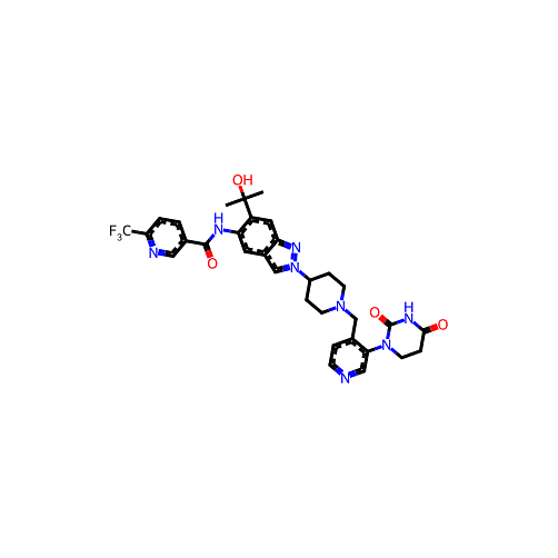 CC(C)(O)c1cc2nn(C3CCN(Cc4ccncc4N4CCC(=O)NC4=O)CC3)cc2cc1NC(=O)c1ccc(C(F)(F)F)nc1